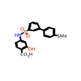 CSc1ccc(-c2cccc(S(=O)(=O)Nc3ccc(C(=O)O)c(O)c3)c2)cc1